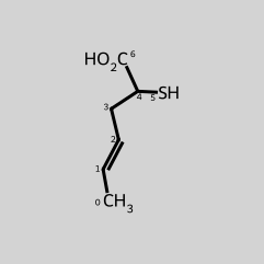 CC=CCC(S)C(=O)O